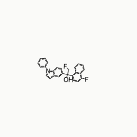 OC(CF)(c1ccc2c(ccn2-c2ccccc2)c1)c1ccc(F)c2ccccc12